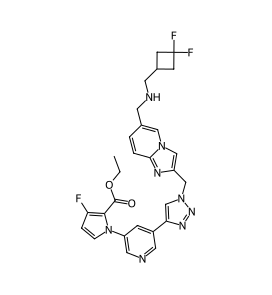 CCOC(=O)c1c(F)ccn1-c1cncc(-c2cn(Cc3cn4cc(CNCC5CC(F)(F)C5)ccc4n3)nn2)c1